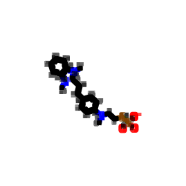 CN(CCSS(=O)(=O)[O-])c1ccc(C=Cc2n(C)c3ccccc3[n+]2C)cc1